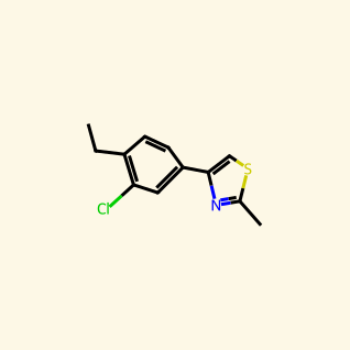 CCc1ccc(-c2csc(C)n2)cc1Cl